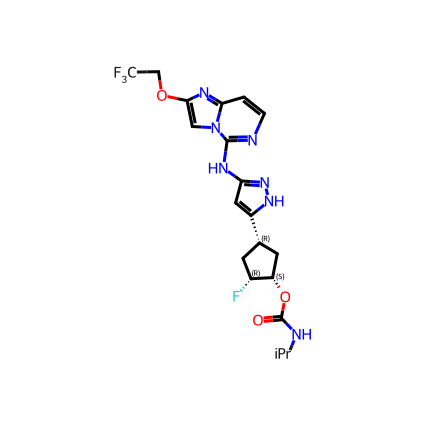 CC(C)NC(=O)O[C@H]1C[C@@H](c2cc(Nc3nccc4nc(OCC(F)(F)F)cn34)n[nH]2)C[C@H]1F